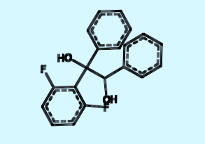 OC(c1ccccc1)C(O)(c1ccccc1)c1c(F)cccc1F